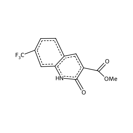 COC(=O)c1cc2ccc(C(F)(F)F)cc2[nH]c1=O